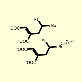 CCCCC(CC)CC(=CC(=O)[O-])C(=O)[O-].CCCCC(CC)CC(=CC(=O)[O-])C(=O)[O-].[Ca+2].[Ca+2]